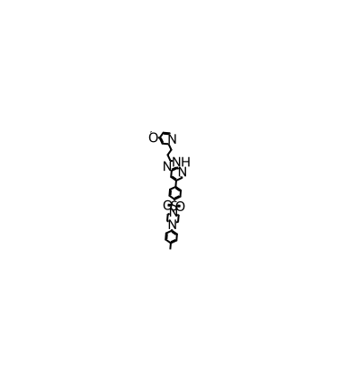 COc1ccnc(CCc2nc3cc(-c4ccc(S(=O)(=O)N5CCN(c6ccc(C)cc6)CC5)cc4)cnc3[nH]2)c1